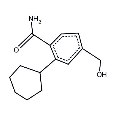 NC(=O)c1ccc(CO)cc1C1CCCCC1